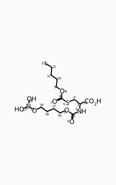 O=C(NC(CSC(=O)OCCCCI)C(=O)O)OCCCCON(O)O